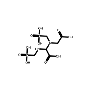 O=C(O)CN(CP(=O)(O)O)C(NCP(=O)(O)O)C(=O)O